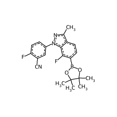 Cc1nn(-c2ccc(F)c(C#N)c2)c2c(F)c(B3OC(C)(C)C(C)(C)O3)ccc12